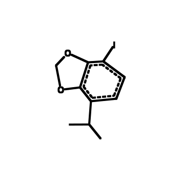 CC(C)c1ccc(I)c2c1OCO2